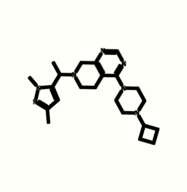 Cc1cc(C(C)N2CCc3c(ncnc3N3CCN(C4CCC4)CC3)C2)n(C)n1